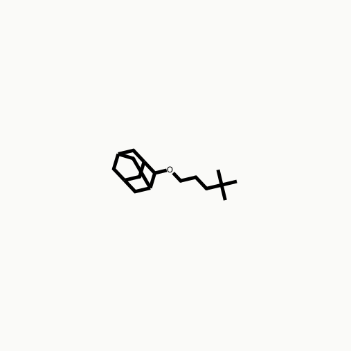 CC(C)(C)CCCOC1C2CC3CC(C2)CC1C3